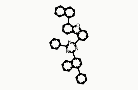 c1ccc(-c2nc(-c3ccc(-c4ccccc4)c4ccccc34)nc(-c3cccc4oc5c(-c6cccc7ccccc67)cccc5c34)n2)cc1